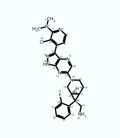 CN(C)c1nccc(-c2n[nH]c3nc(N4CC[C@@H]5[C@H](C4)[C@@]5(CN)c4ccccc4F)cnc23)c1Cl